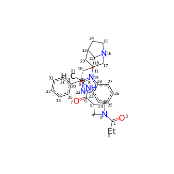 CCC(=O)N1CC(C(=O)N[C@@H](CCC2C3CCN2CC(n2c(C)nc4ccccc42)C3)c2ccccc2)C1